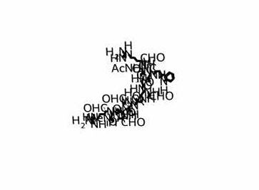 CNC(=O)[C@@H](NC(=O)[C@@H](NC(=O)[C@@H](NC(=O)[C@H](C)NC(=O)[C@@H](NC(=O)[C@H](C)NC(=O)[C@@H](NC(=O)[C@@H](NC(C)=O)N[C@@H](C=O)CCCNC(=N)N)N[C@@H](C=O)Cc1c[nH]c2ccccc12)N[C@@H](C)C=O)N[C@@H](C)C=O)N[C@@H](C=O)CC(C)C)N[C@@H](C=O)CCCNC(=N)N